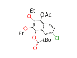 CCOc1c(OCC)c(OC(=O)C(C)(C)C)c2cc(Cl)ccc2c1OC(C)=O